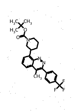 Cc1c(-c2ccc(C(F)(F)F)cc2)nnc2c(C3CCCN(C(=O)OC(C)(C)C)C3)cccc12